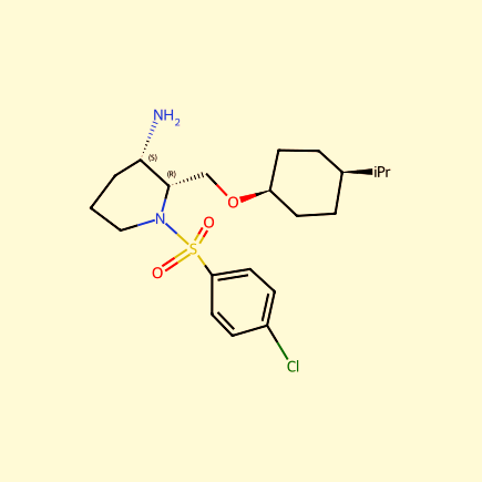 CC(C)[C@H]1CC[C@@H](OC[C@H]2[C@@H](N)CCCN2S(=O)(=O)c2ccc(Cl)cc2)CC1